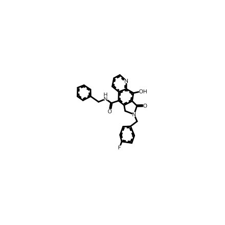 O=C(NCc1ccccc1)c1c2c(c(O)c3ncccc13)C(=O)N(Cc1ccc(F)cc1)C2